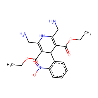 CCOC(=O)C1=C(CN)NC(CN)=C(C(=O)OCC)C1c1ccccc1[N+](=O)[O-]